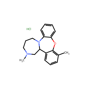 Cc1cccc2c1Oc1ccccc1N1CCCN(C)CC21.Cl